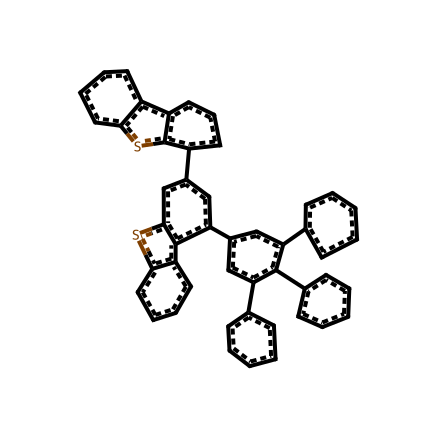 c1ccc(-c2cc(-c3cc(-c4cccc5c4sc4ccccc45)cc4sc5ccccc5c34)cc(-c3ccccc3)c2-c2ccccc2)cc1